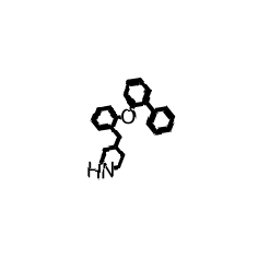 c1ccc(-c2ccccc2Oc2ccccc2CC2CCNCC2)cc1